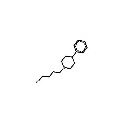 BrCCCCN1CCC(c2ccccc2)CC1